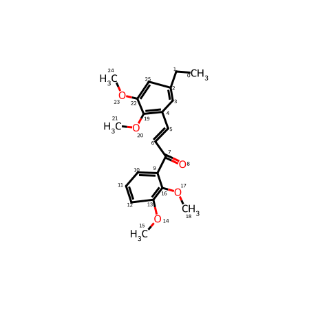 CCc1cc(/C=C/C(=O)c2cccc(OC)c2OC)c(OC)c(OC)c1